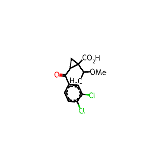 COC(C)C1(C(=O)O)CC1C(=O)c1ccc(Cl)c(Cl)c1